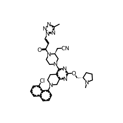 Cc1nnn(/C=C/C(=O)N2CCN(c3nc(OC[C@@H]4CCCN4C)nc4c3CCN(c3cccc5cccc(Cl)c35)C4)C[C@@H]2CC#N)n1